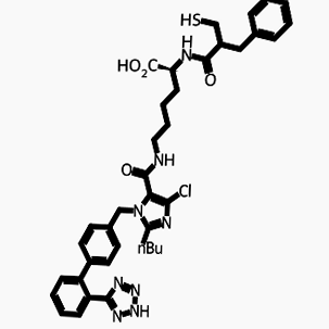 CCCCc1nc(Cl)c(C(=O)NCCCC[C@H](NC(=O)C(CS)Cc2ccccc2)C(=O)O)n1Cc1ccc(-c2ccccc2-c2nn[nH]n2)cc1